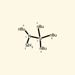 CCCCN([SiH3])[Si](CCCC)(CCCC)CCCC